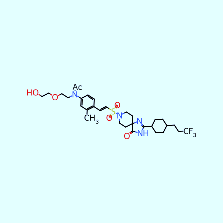 CC(=O)N(CCOCCO)c1ccc(C=CS(=O)(=O)N2CCC3(CC2)N=C(C2CCC(CCC(F)(F)F)CC2)NC3=O)c(C)c1